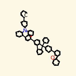 c1ccc(-c2ccc(N(c3ccccc3)c3ccccc3-c3ccc(-c4ccc5c(c4)-c4ccccc4C5(c4ccccc4)c4ccc(-c5cccc6c5oc5ccccc56)cc4)cc3)cc2)cc1